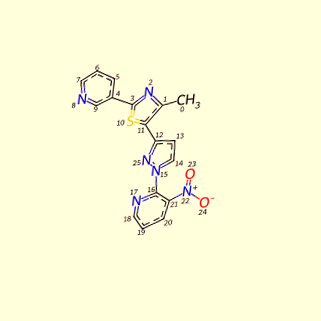 Cc1nc(-c2cccnc2)sc1-c1ccn(-c2ncccc2[N+](=O)[O-])n1